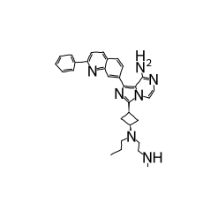 CCCN(CCNC)[C@H]1C[C@@H](c2nc(-c3ccc4ccc(-c5ccccc5)nc4c3)c3c(N)nccn32)C1